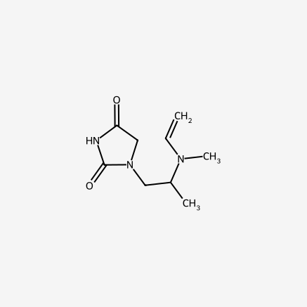 C=CN(C)C(C)CN1CC(=O)NC1=O